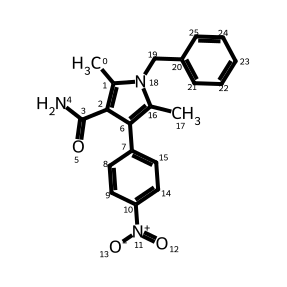 Cc1c(C(N)=O)c(-c2ccc([N+](=O)[O-])cc2)c(C)n1Cc1ccccc1